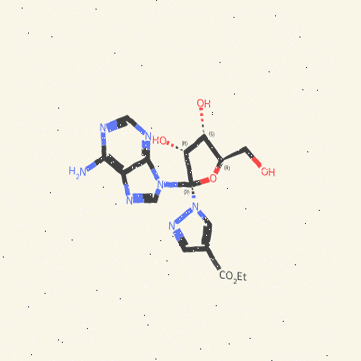 CCOC(=O)c1cnn([C@@]2(n3cnc4c(N)ncnc43)O[C@H](CO)[C@@H](O)[C@H]2O)c1